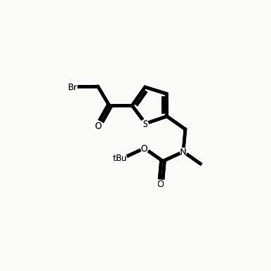 CN(Cc1ccc(C(=O)CBr)s1)C(=O)OC(C)(C)C